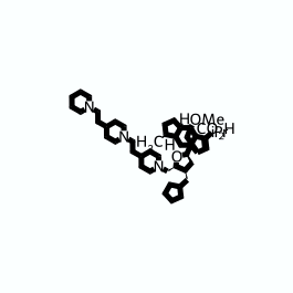 COC12CC3C=C(C(C)C)[C@@]1(C(=O)O)C3([C@H]1C[C@H](CC3CCCC3)[C@H](CN3CCC(CCN4CCC(CCN5CCCCC5)CC4)CC3)O1)C[C@@H]1[C@H](C)CC[C@H]12